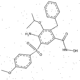 COc1ccc(S(=O)(=O)c2cc(C(=O)NO)c(Cc3ccccc3)c(OC(C)C)c2N)cc1